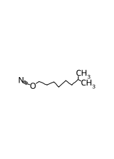 CC(C)CCCCCCOC#N